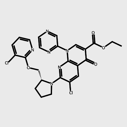 CCOC(=O)c1cn(-c2cnccn2)c2nc(N3CCC[C@@H]3COc3ncccc3Cl)c(Cl)cc2c1=O